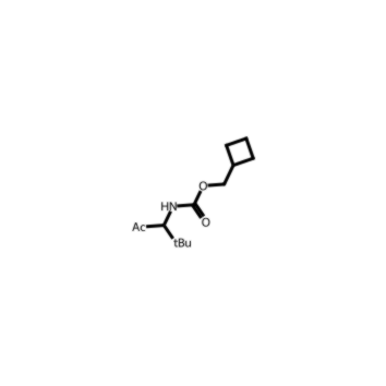 CC(=O)C(NC(=O)OCC1CCC1)C(C)(C)C